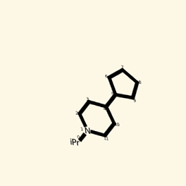 CC(C)N1CCC(C2CCCC2)CC1